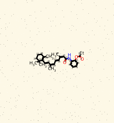 CCC(=O)Oc1ccccc1NC(=O)C=C(C)C=CC=C(C)C=CC1=C(C)CCCC1(C)C